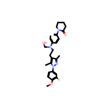 C=C(/C=C\C(=C/C)N(CO)CCc1c(C)nn(-c2ccc(OC)c(F)c2)c1C)N1CCCCC1=O